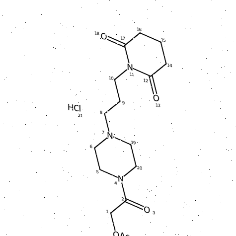 CC(=O)OCC(=O)N1CCN(CCCN2C(=O)CCCC2=O)CC1.Cl